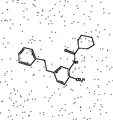 O=C(O)c1ccc(CCc2ccccc2)cc1NC(=O)C1CCCCC1